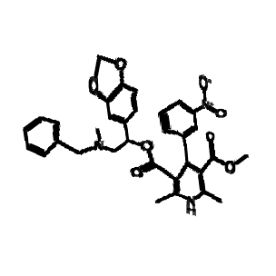 COC(=O)C1=C(C)NC(C)=C(C(=O)OC(CN(C)Cc2ccccc2)c2ccc3c(c2)OCO3)C1c1cccc([N+](=O)[O-])c1